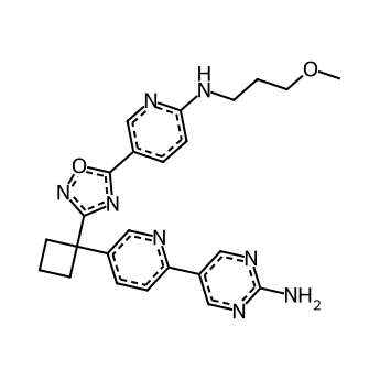 COCCCNc1ccc(-c2nc(C3(c4ccc(-c5cnc(N)nc5)nc4)CCC3)no2)cn1